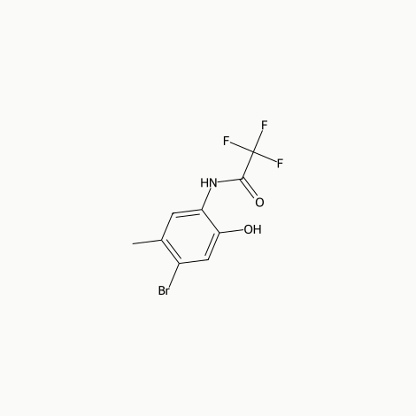 Cc1cc(NC(=O)C(F)(F)F)c(O)cc1Br